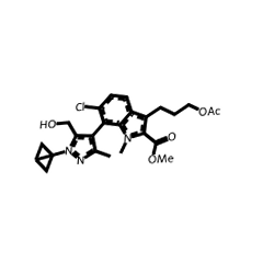 COC(=O)c1c(CCCOC(C)=O)c2ccc(Cl)c(-c3c(C)nn(C45CC4C5)c3CO)c2n1C